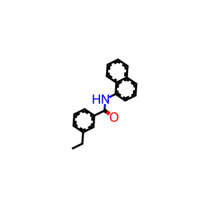 CCc1cccc(C(=O)Nc2cccc3ccccc23)c1